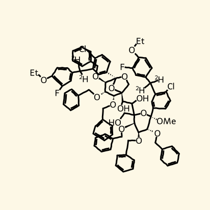 [2H]C([2H])(c1ccc(OCC)c(F)c1)c1cc([C@]23OC[C@@](C(O)C(O)C4(CO)O[C@@](OC)(c5ccc(Cl)c(C([2H])([2H])c6ccc(OCC)c(F)c6)c5)[C@H](OCc5ccccc5)[C@@H](OCc5ccccc5)[C@H]4OCc4ccccc4)(O2)[C@H](OCc2ccccc2)[C@H](OCc2ccccc2)[C@H]3OCc2ccccc2)ccc1Cl